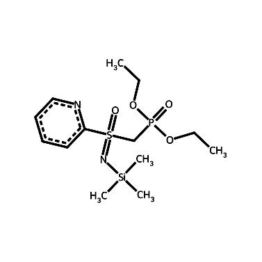 CCOP(=O)(CS(=O)(=N[Si](C)(C)C)c1ccccn1)OCC